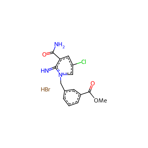 Br.COC(=O)c1cccc(Cn2cc(Cl)cc(C(N)=O)c2=N)c1